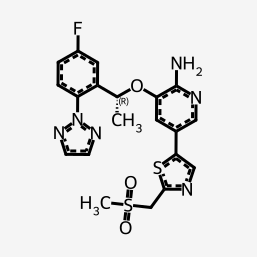 C[C@@H](Oc1cc(-c2cnc(CS(C)(=O)=O)s2)cnc1N)c1cc(F)ccc1-n1nccn1